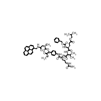 COC(=O)[C@H](OC(=O)N(C)CC(=O)NCc1ccc2ccc3cccc4ccc1c2c34)c1ccc(NC(=O)[C@H](CCCNC(N)=O)NC(=O)[C@@H](NC(=O)[C@H](CCC(=O)OCC(C)C)NC(=O)OCc2ccccc2)C(C)C)cc1